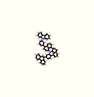 c1ccc(-c2ccccc2N(c2ccc(-c3cccc(-n4c5ccccc5c5ccccc54)c3)cc2)c2cc(-c3cc4ccccc4c4ccccc34)ccc2-c2ccccc2)cc1